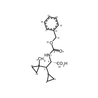 CC1(C(C2CC2)[C@H](NC(=O)OCc2ccccc2)C(=O)O)CC1